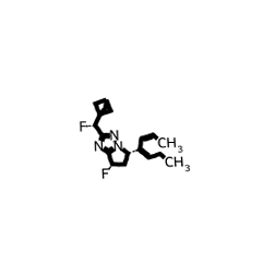 C/C=C\C(=C/CC)[C@@H]1C[C@H](F)c2nc([C@H](F)C34CC(C3)C4)nn21